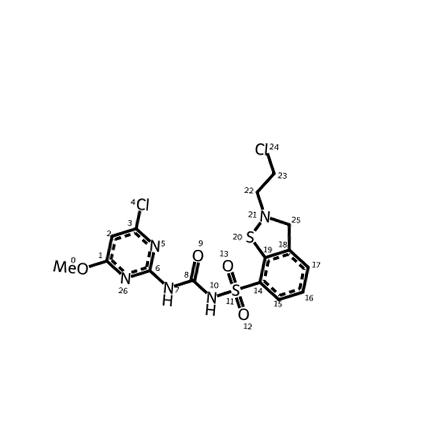 COc1cc(Cl)nc(NC(=O)NS(=O)(=O)c2cccc3c2SN(CCCl)C3)n1